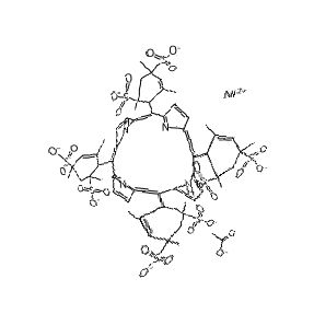 CC(=O)[O-].CC1=CC(C)(S(=O)(=O)[O-])CC(C)(S(=O)(=O)[O-])C1c1c2nc(c(C3C(C)=CC(C)(S(=O)(=O)[O-])CC3(C)S(=O)(=O)[O-])c3ccc([nH]3)c(C3C(C)=CC(C)(S(=O)(=O)[O-])CC3(C)S(=O)(=O)[O-])c3nc(c(C4C(C)=CC(C)(S(=O)(=O)[O-])CC4(C)S(=O)(=O)[O-])c4ccc1[nH]4)C=C3)C=C2.[Ni+2]